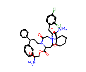 NC(=O)COC(=O)C1CC(=O)[N+](CCc2ccc(Cl)cc2Cl)(C2(C(N)=O)CCCCC2)CC(=O)N1CCC(c1ccccc1)c1ccccc1